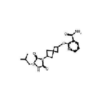 CC(C)C[C@H]1NC(=O)N(C2CC3(CC(Oc4ncccc4C(N)=O)C3)C2)C1=O